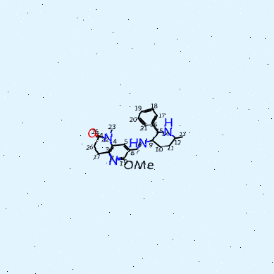 COc1nc2c(cc1CNC1CCC(C)NC1c1ccccc1)N(C)C(=O)CC2